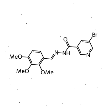 COc1ccc(/C=N/NC(=O)c2cncc(Br)c2)c(OC)c1OC